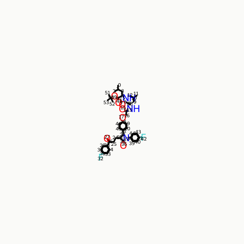 CC(C)CC(NC(=O)[C@@H](CC(C)C)NC(=O)COc1ccc(C2C(CCC(=O)c3ccc(F)cc3)C(=O)N2c2ccc(F)cc2)cc1)C(=O)OC(C)(C)C